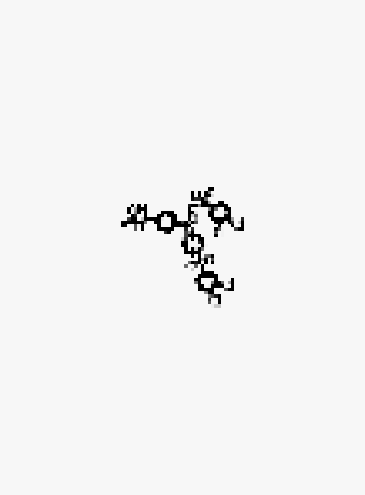 Cc1nc(-c2ccc(C(=O)N3CCN(S(=O)(=O)c4ccc(Cl)c(Cl)c4)CC3)cc2)no1.O=S(=O)(Cl)c1ccc(Cl)c(Cl)c1